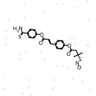 CC(C)(CC(=O)Oc1ccc(/C=C/C(=O)Oc2ccc(C(N)=S)cc2)cc1)SN=O